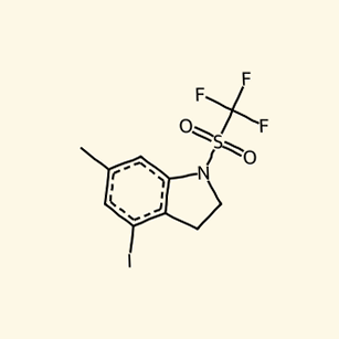 Cc1cc(I)c2c(c1)N(S(=O)(=O)C(F)(F)F)CC2